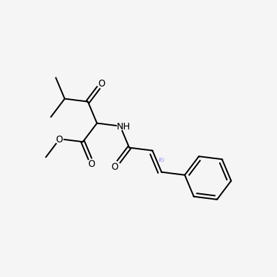 COC(=O)C(NC(=O)/C=C/c1ccccc1)C(=O)C(C)C